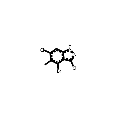 Cc1c(Cl)cc2[nH]nc(Cl)c2c1Br